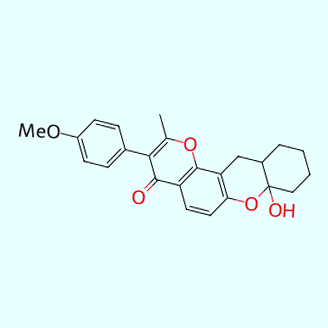 COc1ccc(-c2c(C)oc3c4c(ccc3c2=O)OC2(O)CCCCC2C4)cc1